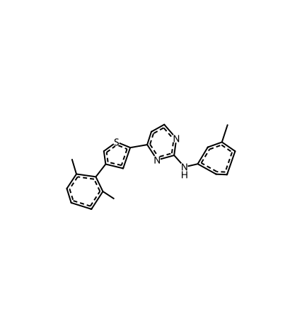 Cc1cccc(Nc2nccc(-c3cc(-c4c(C)cccc4C)cs3)n2)c1